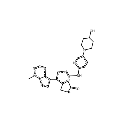 Cn1nccc2c(-c3ccc(Nc4ccc(N5CCC(O)CC5)cn4)c4c3CNC4=O)cnc1-2